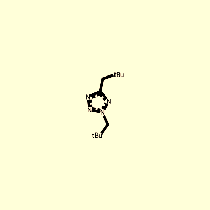 CC(C)(C)Cc1nnn(CC(C)(C)C)n1